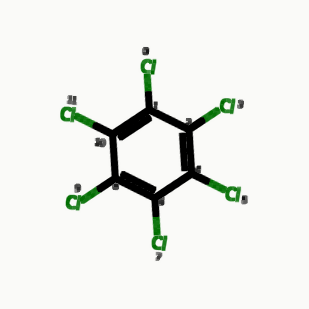 Clc1c(Cl)c(Cl)c(Cl)c(Cl)c1Cl